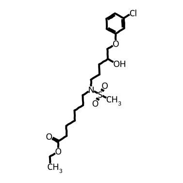 CCOC(=O)CCCCCCN(CCCC(O)COc1cccc(Cl)c1)S(C)(=O)=O